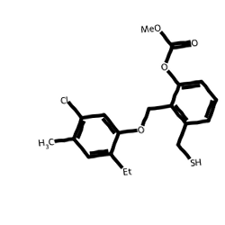 CCc1cc(C)c(Cl)cc1OCc1c(CS)cccc1OC(=O)OC